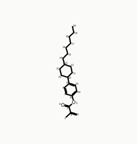 C=C(C)C(=O)Oc1ccc(C2CCC(CCCCCCC)CC2)cc1